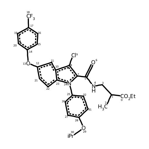 CCOC(=O)C(C)CNC(=O)c1c(Cl)c2cc(Oc3ccc(C(F)(F)F)cc3)ccc2n1-c1ccc(OC(C)C)cc1